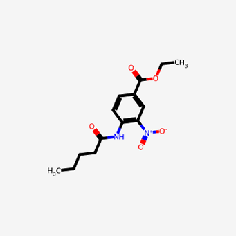 CCCCC(=O)Nc1ccc(C(=O)OCC)cc1[N+](=O)[O-]